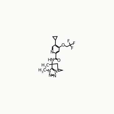 Cn1nnnc1C(C)(CC1CC1)NC(=O)c1cc(OCC(F)(F)F)c(C2CC2)cn1